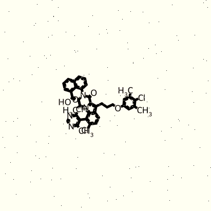 Cc1cc(OCCCc2c3n(c4c(-c5c(C)ncnc5C)c(Cl)ccc24)[C@H](C)CN(c2cccc4cccc(C(=O)O)c24)C3=O)cc(C)c1Cl